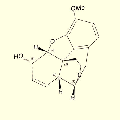 COc1ccc2c3c1O[C@H]1[C@@H](O)C=C[C@H]4[C@H](CCC[C@@]341)C2